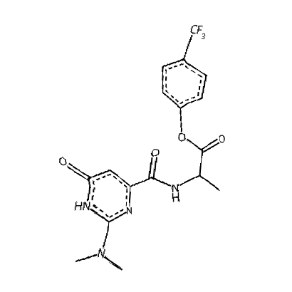 CC(NC(=O)c1cc(=O)[nH]c(N(C)C)n1)C(=O)Oc1ccc(C(F)(F)F)cc1